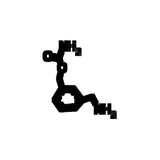 NCc1cccc(COC(N)=O)c1